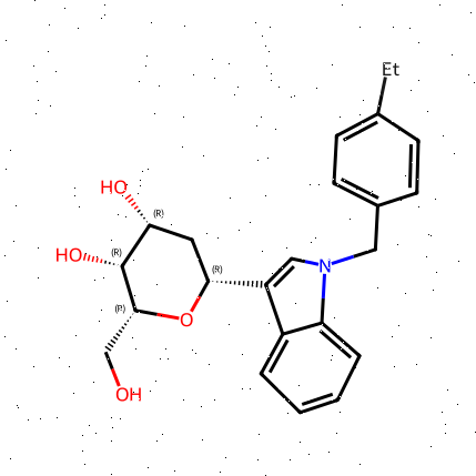 CCc1ccc(Cn2cc([C@H]3C[C@@H](O)[C@@H](O)[C@@H](CO)O3)c3ccccc32)cc1